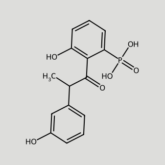 CC(C(=O)c1c(O)cccc1P(=O)(O)O)c1cccc(O)c1